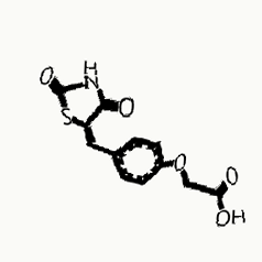 O=C(O)COc1ccc(/C=C2/SC(=O)NC2=O)cc1